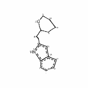 c1ccc2[nH]c(CC3CCCCO3)cc2c1